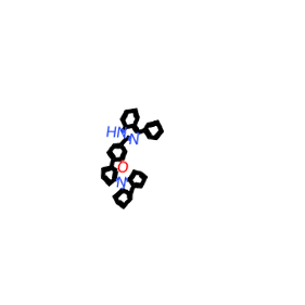 C1=CC2=C(c3ccccc3)N=C(c3ccc4c(c3)oc3c(-n5c6ccccc6c6ccccc65)cccc34)NC2C=C1